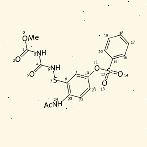 COC(=O)NC(=O)NSc1cc(OS(=O)(=O)c2ccccc2)ccc1NC(C)=O